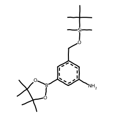 CC1(C)OB(c2cc(N)cc(CO[Si](C)(C)C(C)(C)C)c2)OC1(C)C